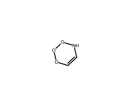 [c]1cooo[nH]1